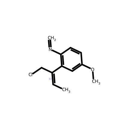 C=Nc1ccc(OC)cc1/C(=C\C)CCl